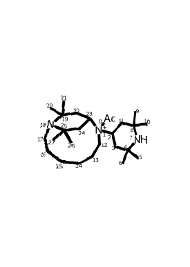 CC(=O)[N+]1(C2CC(C)(C)NC(C)(C)C2)CCCCCCN2C(C)(C)CC1CC2(C)C